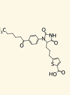 CCCCCC(=O)c1ccc(N2C(=O)NC(=O)C2CCCc2ccc(C(=O)O)s2)cc1